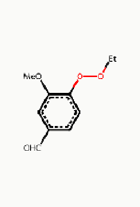 CCOOc1ccc(C=O)cc1OC